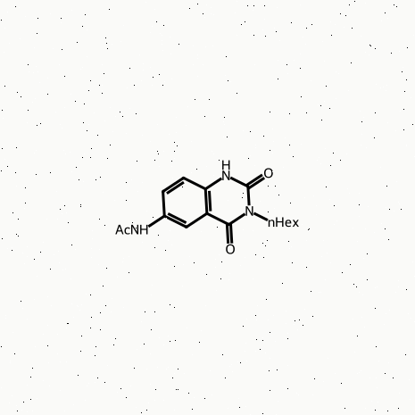 CCCCCCn1c(=O)[nH]c2ccc(NC(C)=O)cc2c1=O